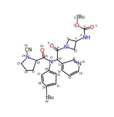 CC(C)(C)OC(=O)NC1CN(C(=O)C(c2cccnc2)N(C(=O)C2CCCN2C#N)c2ccc(C(C)(C)C)cc2)C1